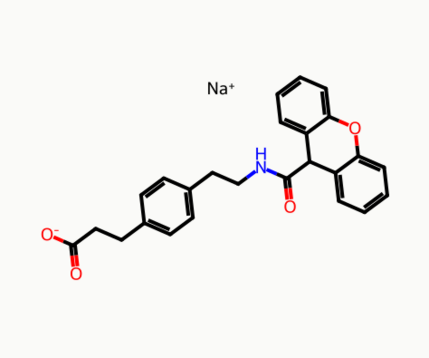 O=C([O-])CCc1ccc(CCNC(=O)C2c3ccccc3Oc3ccccc32)cc1.[Na+]